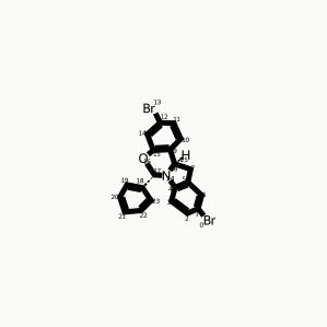 Brc1ccc2c(c1)C[C@@H]1c3ccc(Br)cc3O[C@@H](c3ccccc3)N21